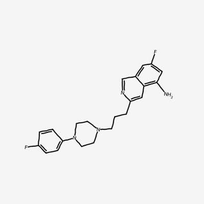 Nc1cc(F)cc2cnc(CCCN3CCN(c4ccc(F)cc4)CC3)cc12